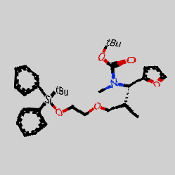 CC(COCCO[Si](c1ccccc1)(c1ccccc1)C(C)(C)C)[C@@H](c1ccco1)N(C)C(=O)OC(C)(C)C